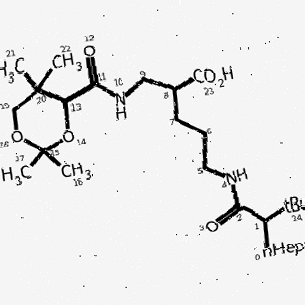 CCCCCCCC(C(=O)NCCCC(CNC(=O)C1OC(C)(C)OCC1(C)C)C(=O)O)C(C)(C)C